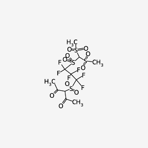 CC(=O)C(C(C)=O)S(=O)(=O)C(F)(F)C(F)(F)C(F)(F)S(=O)(=O)C(S(C)(=O)=O)S(C)(=O)=O